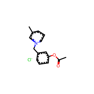 CC(=O)Oc1cccc(C[n+]2cccc(C)c2)c1.[Cl-]